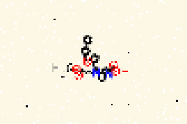 CCOC(=O)CCCCN(CCc1ccccc1OCc1ccc(C2CCCCC2)cc1)C1CCCc2nc(C(=O)O)ccc21